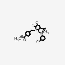 COC(=O)c1ccc(CCn2c(CN(C)c3cccc(Cl)c3)c(C3CC3)cc(Cl)c2=O)cc1